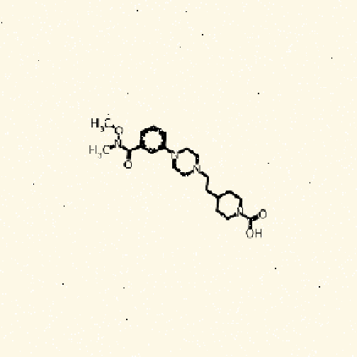 CON(C)C(=O)c1cccc(N2CCN(CCC3CCN(C(=O)O)CC3)CC2)c1